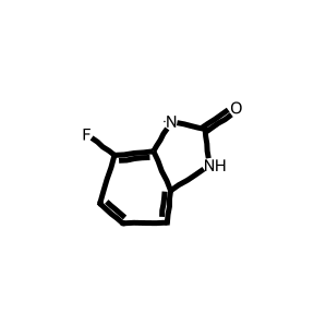 O=C1[N]c2c(F)cccc2N1